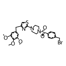 COc1cc(Cc2csc(N3CCN(S(=O)(=O)c4ccc(CBr)cc4)CC3)n2)cc(OC)c1OC